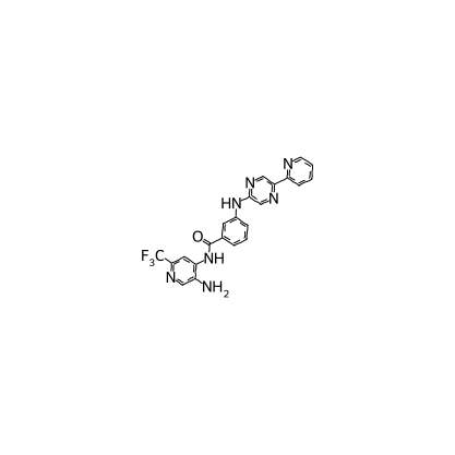 Nc1cnc(C(F)(F)F)cc1NC(=O)c1cccc(Nc2cnc(-c3ccccn3)cn2)c1